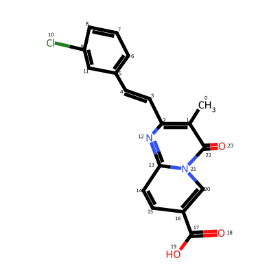 Cc1c(C=Cc2cccc(Cl)c2)nc2ccc(C(=O)O)cn2c1=O